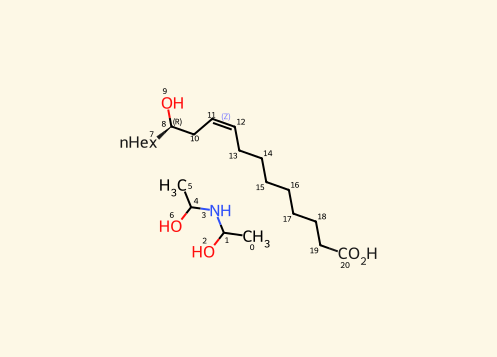 CC(O)NC(C)O.CCCCCC[C@@H](O)C/C=C\CCCCCCCC(=O)O